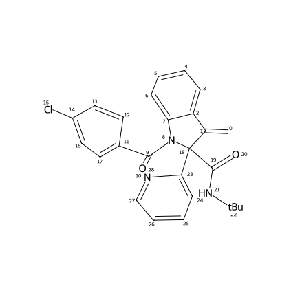 C=C1c2ccccc2N(C(=O)c2ccc(Cl)cc2)C1(C(=O)NC(C)(C)C)c1ccccn1